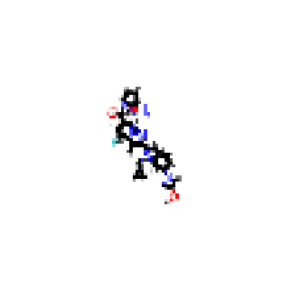 COC1CN(c2ccc3cc(-c4nn5cc(C(=O)N6CC7CCC6[C@@H]7N)cc(F)c5c4C)n(CC4CC4)c3c2)C1